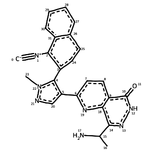 [C-]#[N+]c1c(-c2c(-c3ccc4c(=O)[nH]nc(C(C)N)c4n3)cnn2C)ccc2ccccc12